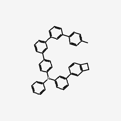 Cc1ccc(-c2cccc(-c3cccc(-c4ccc(N(c5ccccc5)c5cccc(-c6ccc7c(c6)CC7)c5)cc4)c3)c2)cc1